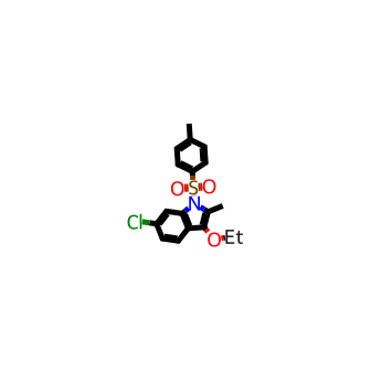 [CH2]COc1c(C)n(S(=O)(=O)c2ccc(C)cc2)c2cc(Cl)ccc12